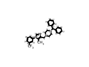 Cc1c(CN2CCN(C(c3ccccc3)c3ccccc3)CC2)ncn1-c1cccc(C(F)(F)F)c1